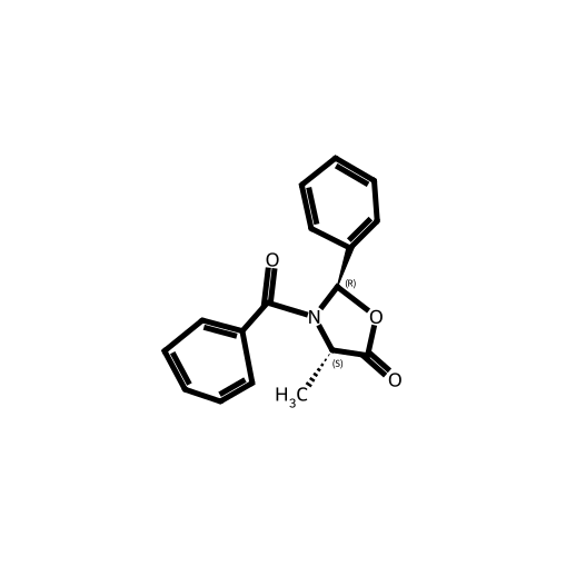 C[C@H]1C(=O)O[C@H](c2ccccc2)N1C(=O)c1ccccc1